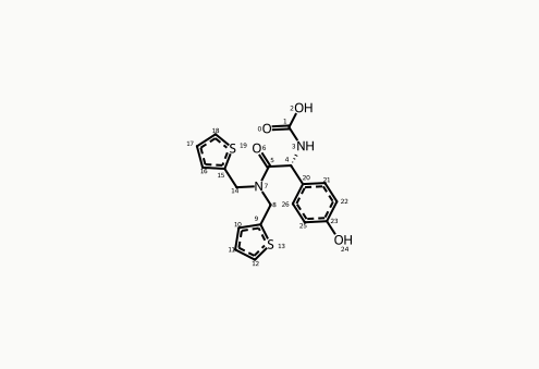 O=C(O)N[C@@H](C(=O)N(Cc1cccs1)Cc1cccs1)c1ccc(O)cc1